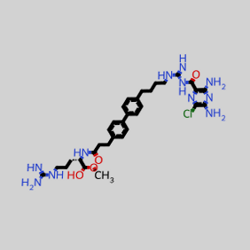 COC(O)[C@H](CCCNC(=N)N)NC(=O)CCc1ccc(-c2ccc(CCCCNC(=N)NC(=O)c3nc(Cl)c(N)nc3N)cc2)cc1